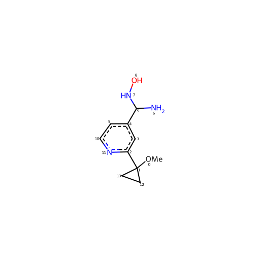 COC1(c2cc(C(N)NO)ccn2)CC1